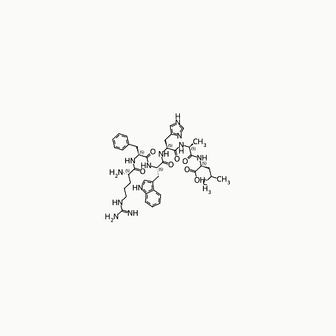 CC(C)C[C@H](NC(=O)[C@H](C)NC(=O)[C@H](Cc1c[nH]cn1)NC(=O)[C@H](Cc1c[nH]c2ccccc12)NC(=O)[C@H](Cc1ccccc1)NC(=O)[C@@H](N)CCCNC(=N)N)C(=O)O